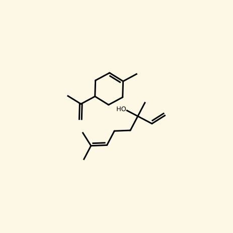 C=C(C)C1CC=C(C)CC1.C=CC(C)(O)CCC=C(C)C